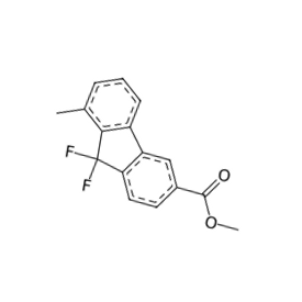 COC(=O)c1ccc2c(c1)-c1cccc(C)c1C2(F)F